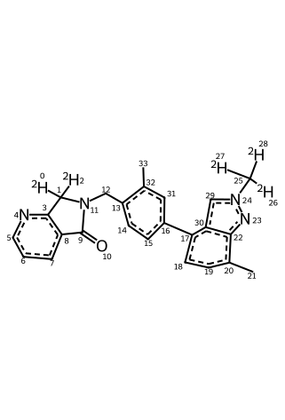 [2H]C1([2H])c2ncccc2C(=O)N1Cc1ccc(-c2ccc(C)c3nn(C([2H])([2H])[2H])cc23)cc1C